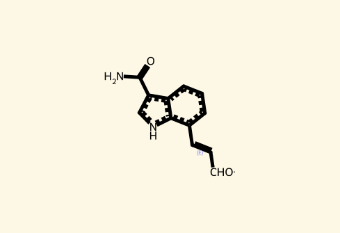 NC(=O)c1c[nH]c2c(/C=C/[C]=O)cccc12